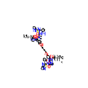 CN[C@@H](C)C(=O)N[C@H](C(=O)N1CCC[C@H]1C(=O)Nc1sc(-c2ccccn2)nc1C1=CCCC=C1)c1ccc(OCC#CC#CCOc2ccc([C@H](NC(=O)[C@H](C)NC)C(=O)N3CCC[C@H]3C(=O)Nc3sc(-c4ccccn4)nc3-c3ccccc3)cc2)cc1